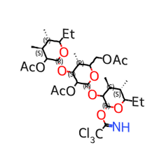 CCC1O[C@H](O[C@@H]2C(OC(C)=O)[C@@H](OC3[C@@H](OC(=N)C(Cl)(Cl)Cl)OC(CC)[C@@H](C)[C@@H]3C)OC(COC(C)=O)[C@H]2C)C(OC(C)=O)[C@@H](C)[C@@H]1C